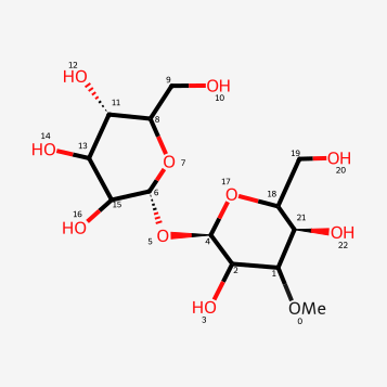 COC1C(O)[C@@H](O[C@H]2OC(CO)[C@@H](O)C(O)C2O)OC(CO)[C@H]1O